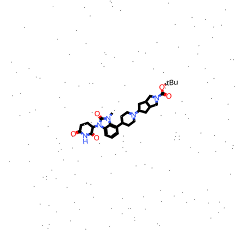 Cn1c(=O)n(C2CCC(=O)NC2=O)c2cccc(C3CCN(C4CC5CN(C(=O)OC(C)(C)C)CC5C4)CC3)c21